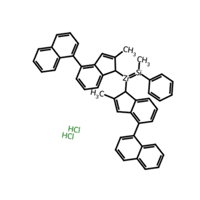 CC1=Cc2c(-c3cccc4ccccc34)cccc2[CH]1[Zr]([CH]1C(C)=Cc2c(-c3cccc4ccccc34)cccc21)=[Si](C)c1ccccc1.Cl.Cl